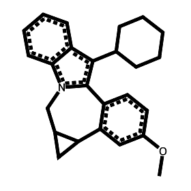 COc1ccc2c(c1)C1CC1Cn1c-2c(C2CCCCC2)c2ccccc21